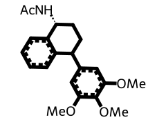 COc1cc(C2CC[C@@H](NC(C)=O)c3ccccc32)cc(OC)c1OC